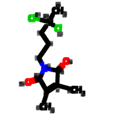 CC1=C(C)C(=O)N(CCC[Si](C)(Cl)Cl)C1=O